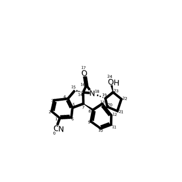 N#Cc1ccc2c(c1)[C@H](c1ccccc1)[C@@]1(C2)C(=O)N1[C@H]1CCC[C@@H]1O